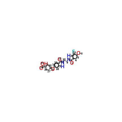 COc1ccc(C(=O)NCCNC(=O)c2ccc(O[C@H]3CC[C@@H](C(=O)O)CC3)cc2)cc1F